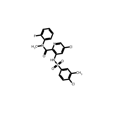 Cc1cc(S(=O)(=O)Nc2cc(Cl)cnc2C(=O)N(C)c2ccccc2F)ccc1Cl